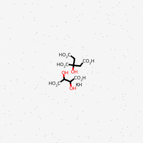 O=C(O)C(O)C(O)C(=O)O.O=C(O)CC(O)(CC(=O)O)C(=O)O.[KH]